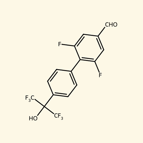 O=Cc1cc(F)c(-c2ccc(C(O)(C(F)(F)F)C(F)(F)F)cc2)c(F)c1